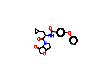 O=C(NC(CC1CC1)C(=O)N1CCC2OCC(=O)C21)c1ccc(Oc2ccccc2)cc1